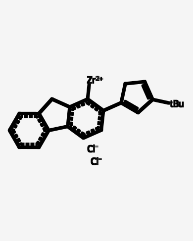 CC(C)(C)C1=CCC(c2ccc3c([c]2[Zr+2])Cc2ccccc2-3)=C1.[Cl-].[Cl-]